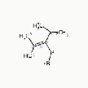 C/C(O)=C(/CBr)C(C)C